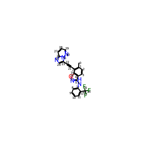 Cc1ccc2c(Nc3ccccc3C(F)(F)F)noc2c1C#Cc1cnc2cccnn12